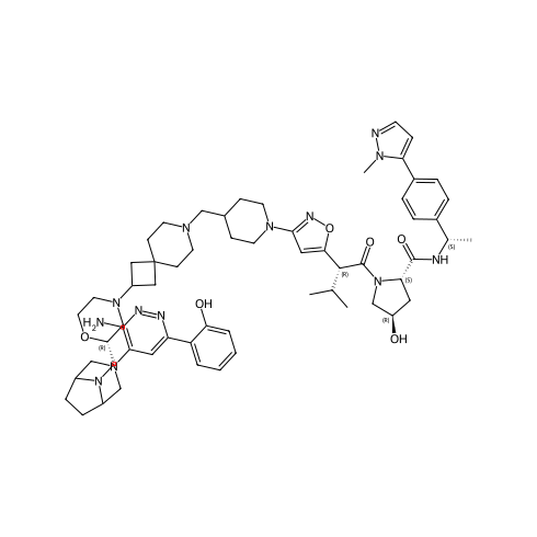 CC(C)[C@@H](C(=O)N1C[C@H](O)C[C@H]1C(=O)N[C@@H](C)c1ccc(-c2ccnn2C)cc1)c1cc(N2CCC(CN3CCC4(CC3)CC(N3CCO[C@@H](CN5C6CCC5CN(c5cc(-c7ccccc7O)nnc5N)C6)C3)C4)CC2)no1